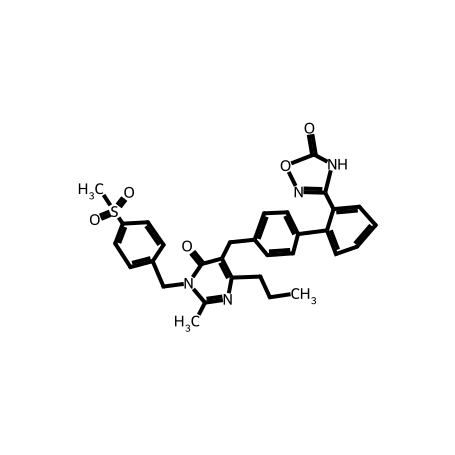 CCCc1nc(C)n(Cc2ccc(S(C)(=O)=O)cc2)c(=O)c1Cc1ccc(-c2ccccc2-c2noc(=O)[nH]2)cc1